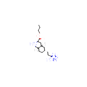 CCCCOC(=O)[C@]1(C)C[C@H]2C[C@@H](CCc3nnn[nH]3)CC[C@H]2CN1